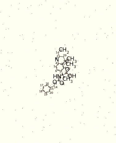 C=CC1=Nc2ccc(C(C)(NC(=O)OCc3ccccc3)C(=O)O)cc2C(C)(C)C1